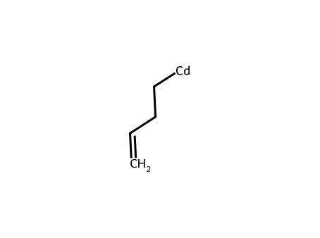 C=CC[CH2][Cd]